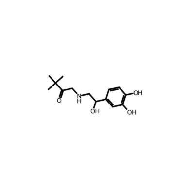 CC(C)(C)C(=O)CNCC(O)c1ccc(O)c(O)c1